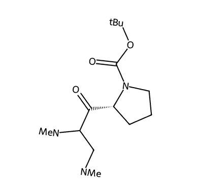 CNCC(NC)C(=O)[C@H]1CCCN1C(=O)OC(C)(C)C